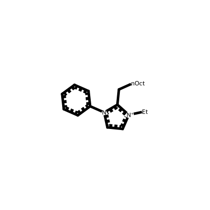 CCCCCCCCCc1n(-c2ccccc2)cc[n+]1CC